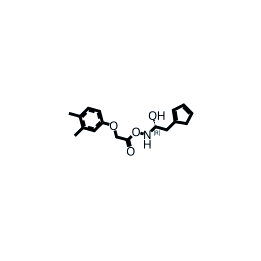 Cc1ccc(OCC(=O)ON[C@H](O)CC2=CC=CC2)cc1C